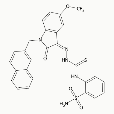 NS(=O)(=O)c1ccccc1NC(=S)NN=C1C(=O)N(Cc2ccc3ccccc3c2)c2ccc(OC(F)(F)F)cc21